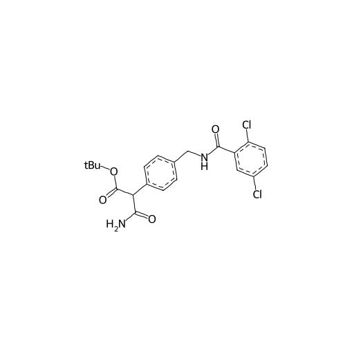 CC(C)(C)OC(=O)C(C(N)=O)c1ccc(CNC(=O)c2cc(Cl)ccc2Cl)cc1